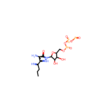 CCCC(=N)c1[nH]n(C2OC(CO[PH](=O)O[PH](=O)OP=O)C(O)C2O)c(=O)c1N